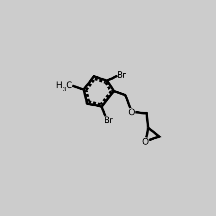 Cc1cc(Br)c(COCC2CO2)c(Br)c1